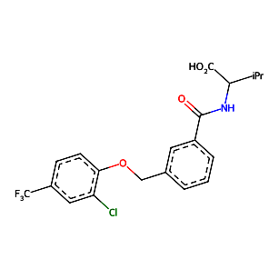 CC(C)C(NC(=O)c1cccc(COc2ccc(C(F)(F)F)cc2Cl)c1)C(=O)O